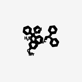 C=CB(c1ccccc1)c1ccccc1.CCCOc1cccc([SiH2]C(c2ccccc2)(c2ccccc2)n2ccnc2)c1